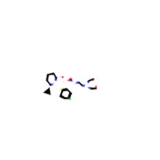 O=C(NCCN1CCOCC1)OC[C@@H]1CCC[C@H](C2CC2)N1S(=O)(=O)c1ccc(Cl)cc1